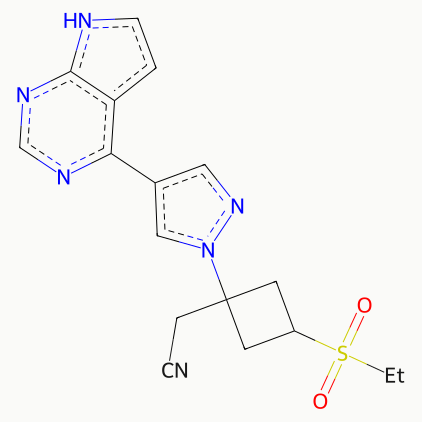 CCS(=O)(=O)C1CC(CC#N)(n2cc(-c3ncnc4[nH]ccc34)cn2)C1